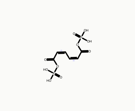 O=C(/C=C\C=C/C(=O)OP(=O)(O)O)OP(=O)(O)O